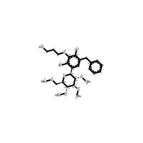 CCCCOC[C@H]1O[C@@H](c2cc(Cc3ccccc3)c(Cl)c(OCCCO)c2Br)[C@H](OCCCC)[C@@H](OCCCC)[C@@H]1OCCCC